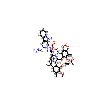 C#CS[C@@H]1c2c(OC(C)=O)c(C)c3c(c2[C@H](COC(=O)[C@@H]2N[C@H](CN)Cc4c2[nH]c2ccccc42)N2[C@@H]1[C@H]1c4c(cc(C)c(OC)c4O)C4(C)CC2(C#N)CN14)OCO3